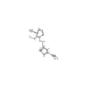 COc1c(Cl)cccc1CCc1cc(N)n[nH]1